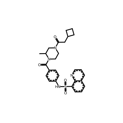 CC1CN(C(=O)CC2CCC2)CCN1C(=O)c1ccc(NS(=O)(=O)c2cccc3cccnc23)cc1